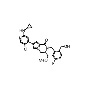 COC[C@H]1Cn2cc(-c3cc(NC4CC4)ncc3Cl)cc2C(=O)N1Cc1cc(F)ccc1CO